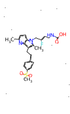 Cc1ccc2c(n1)c(CCc1ccc(S(C)(=O)=O)cc1)c(C)n2CC(F)=CCNC(=O)O